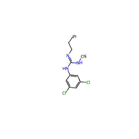 CC(C)CC/N=C(\NC#N)Nc1cc(Cl)cc(Cl)c1